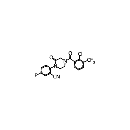 N#Cc1cc(F)ccc1N1CCN(C(=O)c2cccc(C(F)(F)F)c2Cl)CC1=O